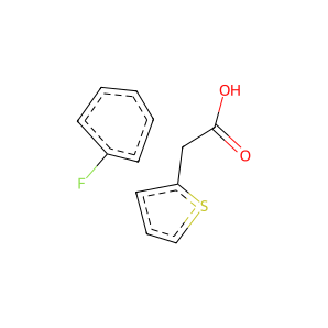 Fc1ccccc1.O=C(O)Cc1cccs1